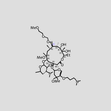 CC[C@H]1OC(=O)[C@H](C)[C@@H](OC2CC(C)(OC)C(OCCCN(C)C)=CO2)[C@H](C)[C@@H](OC2OC(C)CC(N(C)C)C2O)[C@](C)(OC)C[C@@H](C)/C(=N\OCOCCOC)[C@H](C)[C@@H](O)[C@]1(C)O